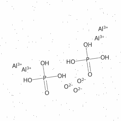 O=P(O)(O)O.O=P(O)(O)O.[Al+3].[Al+3].[Al+3].[Al+3].[O-2].[O-2].[O-2]